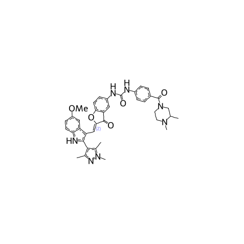 COc1ccc2[nH]c(-c3c(C)nn(C)c3C)c(/C=C3\Oc4ccc(NC(=O)Nc5ccc(C(=O)N6CCN(C)C(C)C6)cc5)cc4C3=O)c2c1